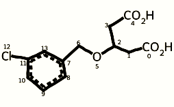 O=C(O)CC(CC(=O)O)OCc1cccc(Cl)c1